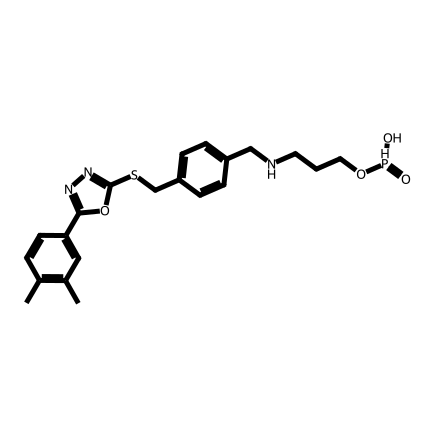 Cc1ccc(-c2nnc(SCc3ccc(CNCCCO[PH](=O)O)cc3)o2)cc1C